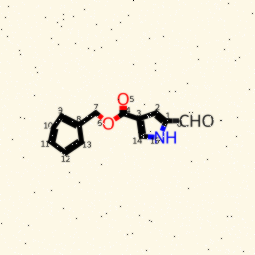 O=Cc1cc(C(=O)OCc2ccccc2)c[nH]1